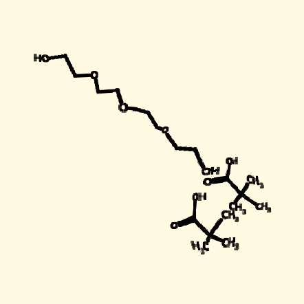 CC(C)(C)C(=O)O.CC(C)(C)C(=O)O.OCCOCCOCCOCCO